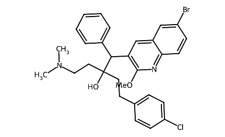 COc1nc2ccc(Br)cc2cc1C(c1ccccc1)C(O)(CCc1ccc(Cl)cc1)CCN(C)C